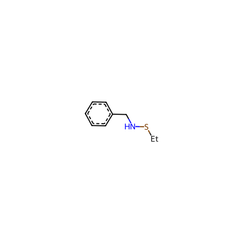 CCSNCc1ccccc1